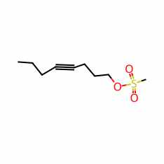 CCCC#CCCCOS(C)(=O)=O